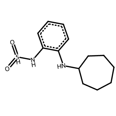 O=[SH](=O)Nc1ccccc1NC1CCCCCC1